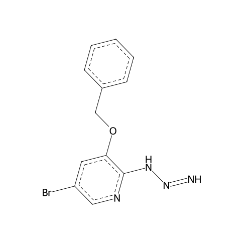 N=NNc1ncc(Br)cc1OCc1ccccc1